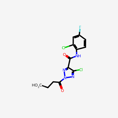 O=C(O)CCC(=O)n1nc(Cl)c(C(=O)Nc2ccc(F)cc2Cl)n1